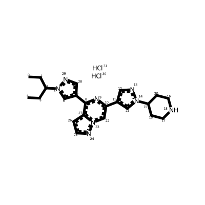 CCC(CC)n1cc(-c2nc(-c3cnn(C4CCNCC4)c3)cn3nccc23)cn1.Cl.Cl